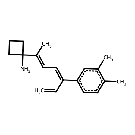 C=C/C(=C\C=C(/C)C1(N)CCC1)c1ccc(C)c(C)c1